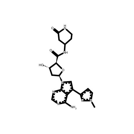 Cn1ccc(-c2cn([C@H]3C[C@H](O)[C@@H](C(=O)NC4CCNC(=O)C4)O3)c3ncnc(N)c23)n1